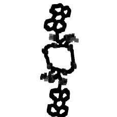 C=C1OCCOCCOC(C(O)Nc2ccc3c4cccc5cccc(c6cccc2c63)c54)C(=C)OCCOCCOC1C(=O)Nc1ccc2c3cccc4cccc(c5cccc1c52)c43